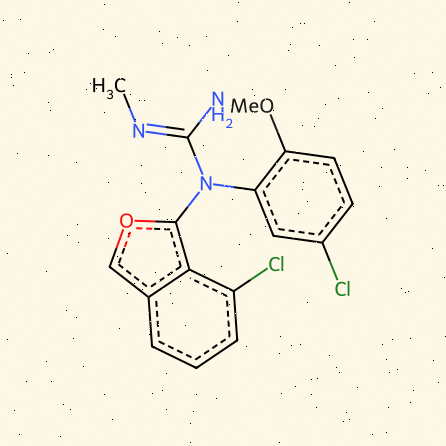 CN=C(N)N(c1cc(Cl)ccc1OC)c1occ2cccc(Cl)c12